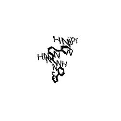 CC(C)Nc1cncc(-c2ccc3[nH]nc(-c4nc5c(-c6cccs6)cccc5[nH]4)c3n2)c1